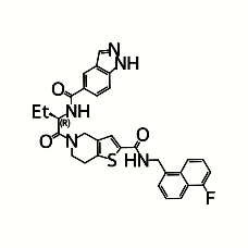 CC[C@@H](NC(=O)c1ccc2[nH]ncc2c1)C(=O)N1CCc2sc(C(=O)NCc3cccc4c(F)cccc34)cc2C1